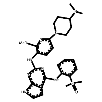 COc1nc(N2CCC(N(C)C)CC2)ccc1Nc1nc(Nc2ccccc2P(C)(C)=O)c2cc[nH]c2n1